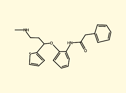 CNCCC(Oc1ccccc1NC(=O)Cc1ccccc1)c1cccs1